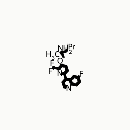 CC(C)CC(C)(N)COc1ccc(-c2ccnc3ccc(F)cc23)nc1C(F)F